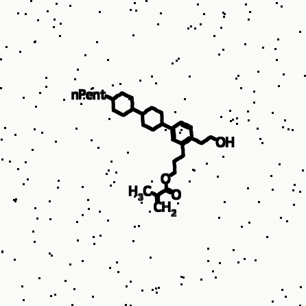 C=C(C)C(=O)OCCCc1cc(C2CCC(C3CCC(CCCCC)CC3)CC2)ccc1CCO